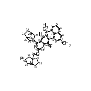 C=C(C)c1cccc2cc(C)cc(-c3ncc4c(N5CC6CCC(C6)C5)nc(OC[C@@]56CCCN5C[C@H](F)C6)nc4c3F)c12